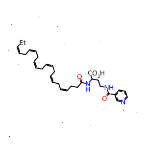 CC/C=C\C/C=C\C/C=C\C/C=C\C/C=C\C/C=C\CCC(=O)NC(CCNC(=O)c1cccnc1)C(=O)O